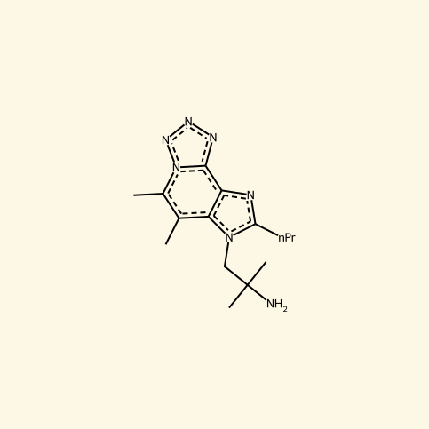 CCCc1nc2c(c(C)c(C)n3nnnc23)n1CC(C)(C)N